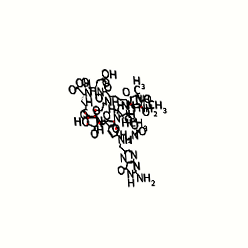 COC1=C(C)C(=O)C2=C(C1=O)[C@H](COC(N)=O)[C@]1(OC)[C@H]3[C@@H](CN21)N3C(=O)CCN1C(=O)CC(SCC[C@@H](NC(=O)[C@@H](CC(=O)O)NC(=O)[C@@H](CCCNC(=N)N)NC(=O)CC[C@@H](NC(=O)c2ccc(NCc3cnc4nc(N)[nH]c(=O)c4n3)cc2)C(=O)O)C(=O)O)C1=O